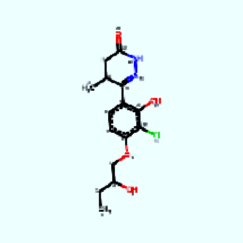 CCC(O)COc1ccc(C2=NNC(=O)CC2C)c(O)c1Cl